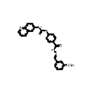 COc1cccc(C=NNC(=O)c2ccc(NC(=O)Nc3ccc4ncccc4c3)cc2)c1